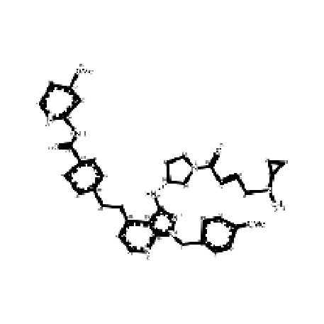 COc1ccc(Cn2nc(N[C@@H]3CCN(C(=O)/C=C/CN(C)C4CC4)C3)c3c(CCc4ccc(C(=O)Nc5cc(OC)ccn5)cc4)ccnc32)cc1